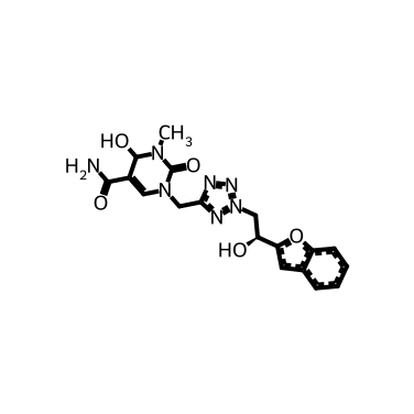 CN1C(=O)N(Cc2nnn(C[C@H](O)c3cc4ccccc4o3)n2)C=C(C(N)=O)C1O